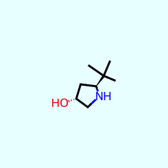 CC(C)(C)[C@@H]1C[C@@H](O)CN1